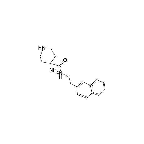 NC1(C(=O)NCCc2ccc3ccccc3c2)CCNCC1